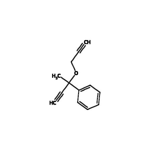 C#CCOC(C)(C#C)c1ccccc1